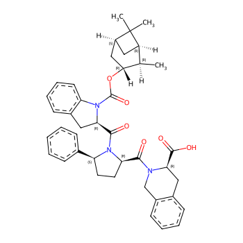 C[C@@H]1[C@H]2C[C@@H](C[C@H]1OC(=O)N1c3ccccc3C[C@@H]1C(=O)N1[C@@H](C(=O)N3Cc4ccccc4C[C@@H]3C(=O)O)CC[C@H]1c1ccccc1)C2(C)C